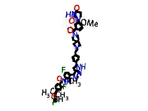 COc1ccc(C(=O)N2CCC3(CCN(CCc4ccc(-c5cc6c(-c7cc(F)cc(NC(=O)c8ccc(C(C)(C)OBF)cc8F)c7C)ncnc6[nH]5)cc4)CC3)CC2)cc1N1CCC(=O)NC1=O